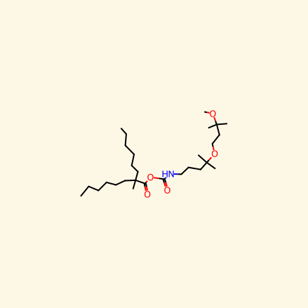 CCCCCCC(C)(CCCCCC)C(=O)OC(=O)NCCCC(C)(C)OCCC(C)(C)OC